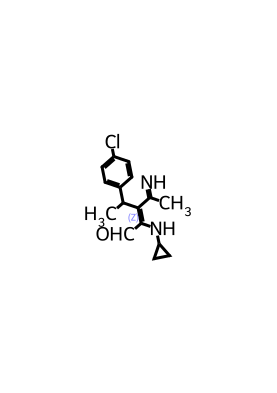 CC(=N)/C(=C(/C=O)NC1CC1)C(C)c1ccc(Cl)cc1